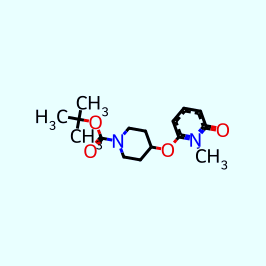 Cn1c(OC2CCN(C(=O)OC(C)(C)C)CC2)cccc1=O